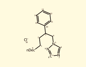 CCCCCCCCCCCCC(CN1C=N[C+]=N1)c1ccccc1.[Cl-]